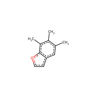 Cc1cc2ccoc2c(C)c1C